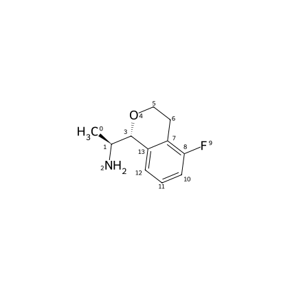 C[C@H](N)[C@@H]1OCCc2c(F)cccc21